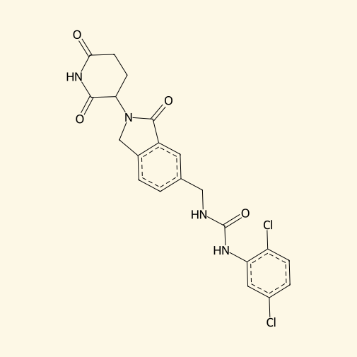 O=C1CCC(N2Cc3ccc(CNC(=O)Nc4cc(Cl)ccc4Cl)cc3C2=O)C(=O)N1